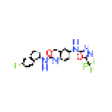 Fc1ccc2c(c1)CCC2NC1=Nc2ccc(Nc3nnc(C(F)(F)F)o3)cc2CO1